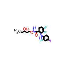 CCC(O)CCONC(=O)c1ccc(F)c(F)c1Nc1ccc(I)cc1F